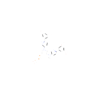 CCN(CCN(CC)c1ccc(-c2cc(OC)cc(OC)c2)nc1)c1ccc(-c2cc(OC)cc(OC)c2)nc1.CS(=O)(=O)O.CS(=O)(=O)O